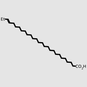 CCC=CCCCCCCCCCCCCCCCCCCCCCCC(=O)O